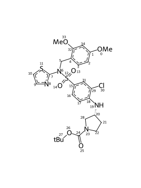 COc1ccc(CN(c2nccs2)S(=O)(=O)c2ccc(N[C@@H]3CCN(C(=O)OC(C)(C)C)C3)c(Cl)c2)c(OC)c1